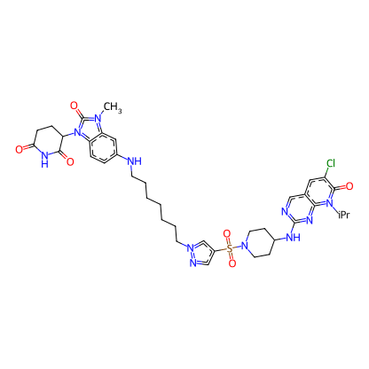 CC(C)n1c(=O)c(Cl)cc2cnc(NC3CCN(S(=O)(=O)c4cnn(CCCCCCCNc5ccc6c(c5)n(C)c(=O)n6C5CCC(=O)NC5=O)c4)CC3)nc21